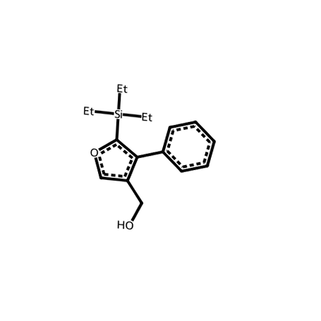 CC[Si](CC)(CC)c1occ(CO)c1-c1ccccc1